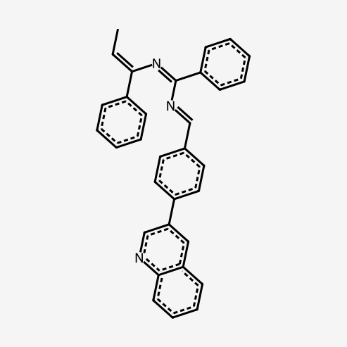 C\C=C(/N=C(\N=C\c1ccc(-c2cnc3ccccc3c2)cc1)c1ccccc1)c1ccccc1